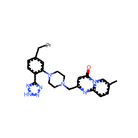 Cc1ccc2nc(CN3CCN(c4cc(CC(C)C)ccc4-c4nn[nH]n4)CC3)cc(=O)n2c1